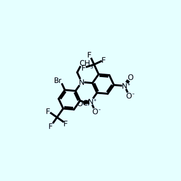 CCN(c1c(Cl)cc(C(F)(F)F)cc1Br)c1c([N+](=O)[O-])cc([N+](=O)[O-])cc1C(F)(F)F